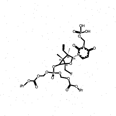 C=C[C@@]1(C)[C@H](n2ccc(=O)n(COP(=O)(O)O)c2=O)O[C@]2(CF)C(OP(=O)(OCOC(=O)OC(C)C)OCOC(=O)OC(C)C)[C@]12C